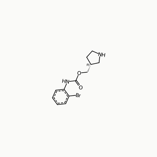 O=C(Nc1ccccc1Br)OC[C@@H]1CCNC1